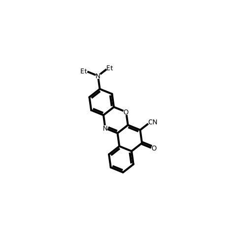 CCN(CC)c1ccc2nc3c4ccccc4c(=O)c(C#N)c-3oc2c1